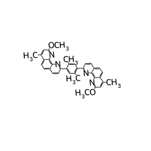 COc1cc(C)c2ccc3ccc(-c4cc(C)c(-c5ccc6ccc7c(C)cc(OC)nc7c6n5)cc4C)nc3c2n1